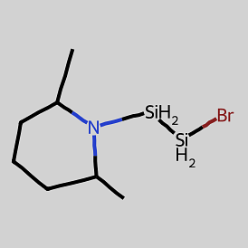 CC1CCCC(C)N1[SiH2][SiH2]Br